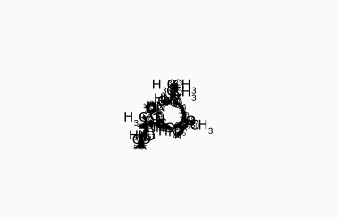 CC[C@@H]1C[C@]1(NC(=O)[C@@H]1C[C@@H]2CN1C(=O)[C@H](C1CCCCC1)NC(=O)[C@@H](NC(=O)OC(C)(C)C)COC/C=C/c1cc3c(nccc3cc1OC)O2)C(=O)NS(=O)(=O)C1CC1